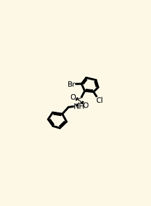 O=S(=O)(NCc1ccccc1)c1c(Cl)cccc1Br